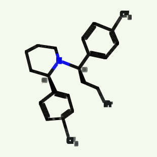 CC(C)CC[C@H](c1ccc(C(F)(F)F)cc1)N1CCCC[C@@H]1c1ccc(C(F)(F)F)cc1